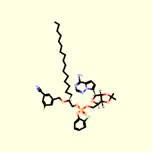 CCCCCCCCCCCCCCCC[C@@H](COP(=O)(OC[C@@]1(C)O[C@@H](c2ccc3c(N)ncnn23)[C@@H]2OC(C)(C)O[C@@H]21)Oc1ccccc1Cl)OCc1cc(F)cc(C#N)c1